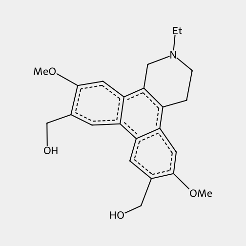 CCN1CCc2c(c3cc(OC)c(CO)cc3c3cc(CO)c(OC)cc23)C1